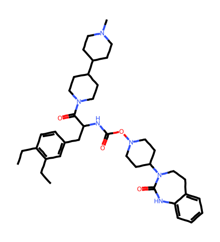 CCc1ccc(CC(NC(=O)ON2CCC(N3CCc4ccccc4NC3=O)CC2)C(=O)N2CCC(C3CCN(C)CC3)CC2)cc1CC